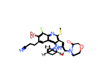 CSc1nc2c(F)c(Br)c(CCC#N)cc2c2c1cc([C@@H](C)N1CCOCC1=O)n2[C@H]1[C@H]2CN[C@@H]1C2